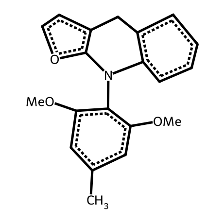 COc1cc(C)cc(OC)c1N1c2ccccc2Cc2ccoc21